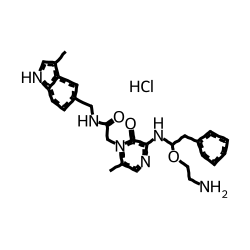 Cc1c[nH]c2ccc(CNC(=O)Cn3c(C)cnc(NC(Cc4ccccc4)OCCN)c3=O)cc12.Cl